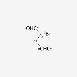 O=[C]CC(Br)[C]=O